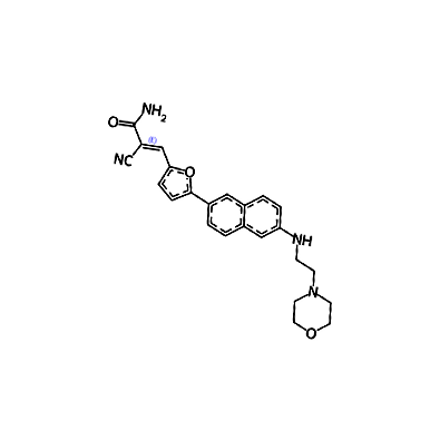 N#C/C(=C\c1ccc(-c2ccc3cc(NCCN4CCOCC4)ccc3c2)o1)C(N)=O